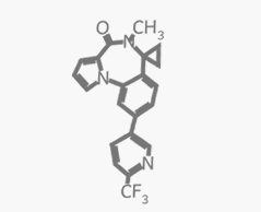 CN1C(=O)c2cccn2-c2cc(-c3ccc(C(F)(F)F)nc3)ccc2C12CC2